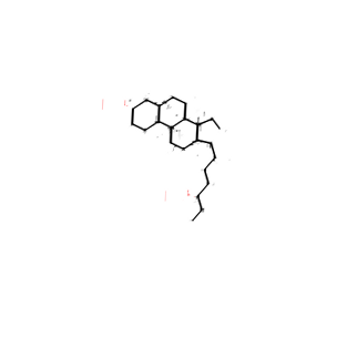 CC[C@H](O)CC[C@@H](C)[C@H]1CC[C@H]2[C@@H]3CCC4C[C@@H](O)CC[C@]4(C)[C@H]3CC[C@]12C